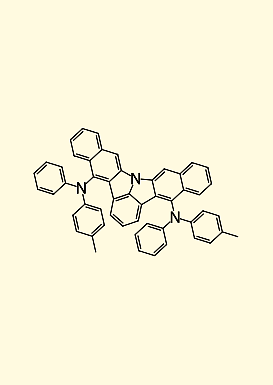 Cc1ccc(N(c2ccccc2)c2c3ccccc3cc3c2c2cccc4c5c(N(c6ccccc6)c6ccc(C)cc6)c6ccccc6cc5n3c24)cc1